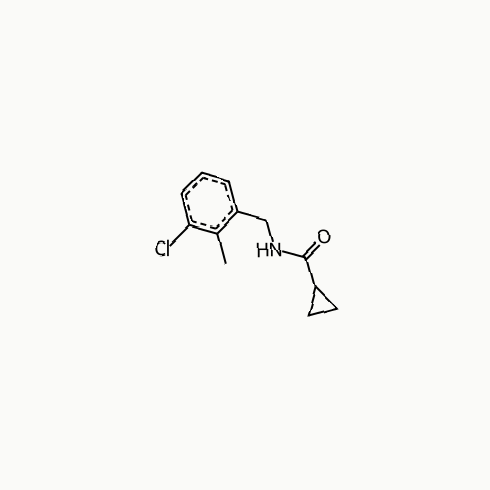 Cc1c(Cl)cccc1CNC(=O)C1CC1